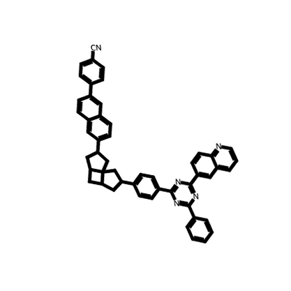 N#Cc1ccc(-c2ccc3cc(C4CC5CC6CC(c7ccc(-c8nc(-c9ccccc9)nc(-c9ccc%10ncccc%10c9)n8)cc7)CC65C4)ccc3c2)cc1